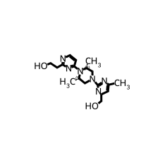 Cc1cc(CO)nc(N2C[C@@H](C)N(c3ccnc(CCO)n3)[C@@H](C)C2)n1